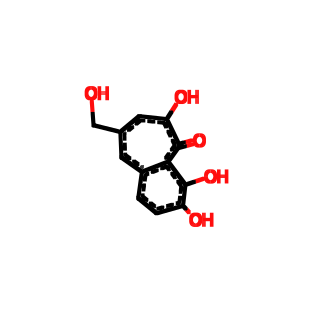 O=c1c(O)cc(CO)cc2ccc(O)c(O)c12